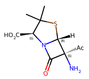 CC(=O)[C@]1(N)C(=O)N2[C@@H](C(=O)O)C(C)(C)S[C@@H]21